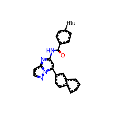 CC(C)(C)c1ccc(C(=O)Nc2cc(-c3ccc4ccccc4c3)n3nccc3n2)cc1